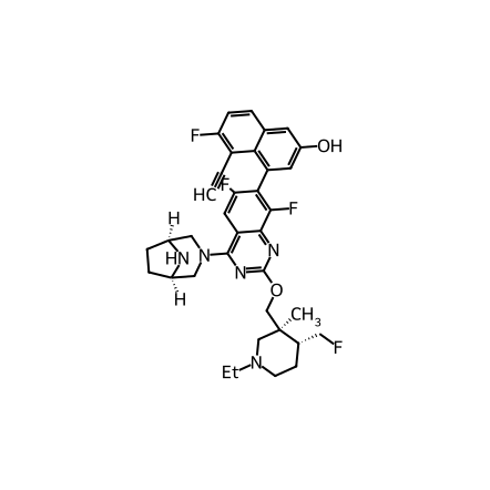 C#Cc1c(F)ccc2cc(O)cc(-c3c(F)cc4c(N5C[C@H]6CC[C@@H](C5)N6)nc(OC[C@]5(C)CN(CC)CC[C@H]5CF)nc4c3F)c12